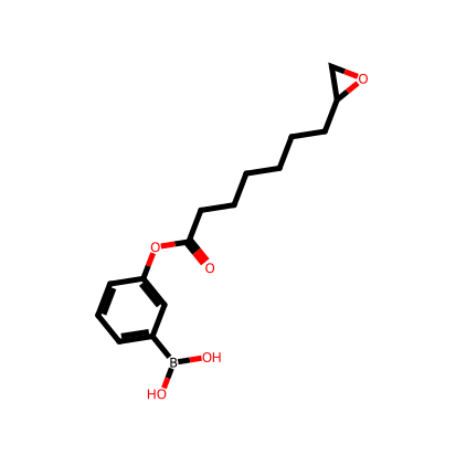 O=C(CCCCCCC1CO1)Oc1cccc(B(O)O)c1